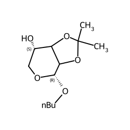 CCCCO[C@@H]1OC[C@H](O)C2OC(C)(C)OC21